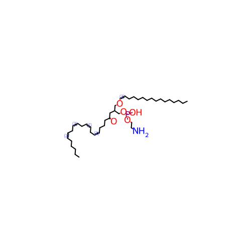 CCCCC/C=C\C/C=C\C/C=C\C/C=C\CCCC(=O)CC(CO/C=C\CCCCCCCCCCCCCC)COP(O)OCCN